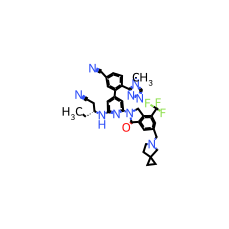 CC[C@H](CC#N)Nc1cc(-c2cc(C#N)ccc2-c2nncn2C)cc(N2Cc3c(cc(CN4CCC5(CC5)C4)cc3C(F)(F)F)C2=O)n1